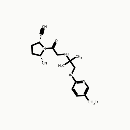 C#C[C@H]1CC[C@@H](C#N)N1C(=O)CNC(C)(C)CNc1ccc(C(=O)OCC)cn1